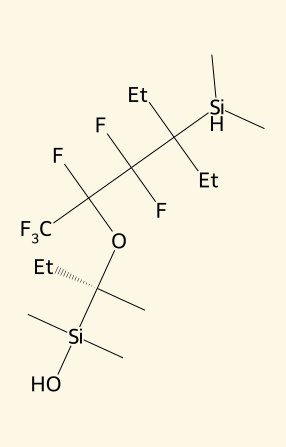 CCC(CC)([SiH](C)C)C(F)(F)C(F)(O[C@](C)(CC)[Si](C)(C)O)C(F)(F)F